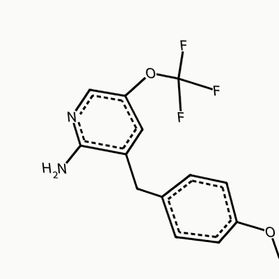 COc1ccc(Cc2cc(OC(F)(F)F)cnc2N)cc1